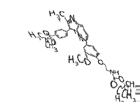 COc1cc(-c2ccc3nc(C)c(-c4ccc(S(=O)(=O)N(C)C)cc4)n3n2)ccc1OCCNC(=O)OC(C)(C)C